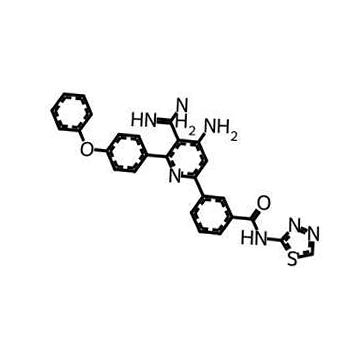 N=C(N)c1c(N)cc(-c2cccc(C(=O)Nc3nncs3)c2)nc1-c1ccc(Oc2ccccc2)cc1